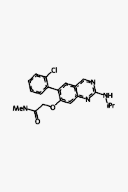 CNC(=O)COc1cc2nc(NC(C)C)ncc2cc1-c1ccccc1Cl